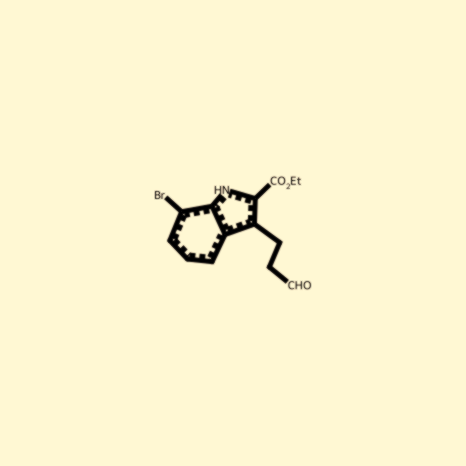 CCOC(=O)c1[nH]c2c(Br)cccc2c1CCC=O